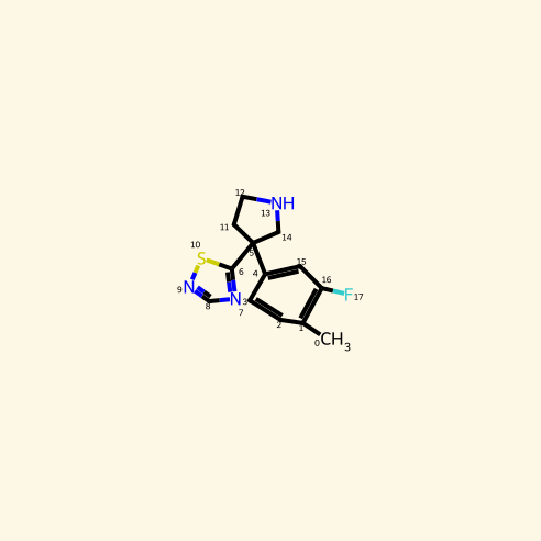 Cc1ccc(C2(c3ncns3)CCNC2)cc1F